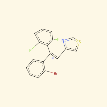 Fc1cccc(F)c1/C(=C\c1cscn1)c1ccccc1Br